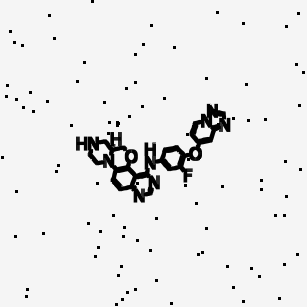 Fc1cc(Nc2ncnc3ccc4c(c23)OC[C@@H]2CNCCN42)ccc1Oc1ccn2ncnc2c1